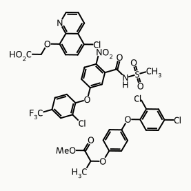 COC(=O)C(C)Oc1ccc(Oc2ccc(Cl)cc2Cl)cc1.CS(=O)(=O)NC(=O)c1cc(Oc2ccc(C(F)(F)F)cc2Cl)ccc1[N+](=O)[O-].O=C(O)COc1ccc(Cl)c2cccnc12